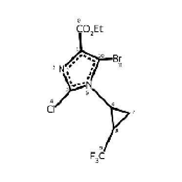 CCOC(=O)c1nc(Cl)n(C2CC2C(F)(F)F)c1Br